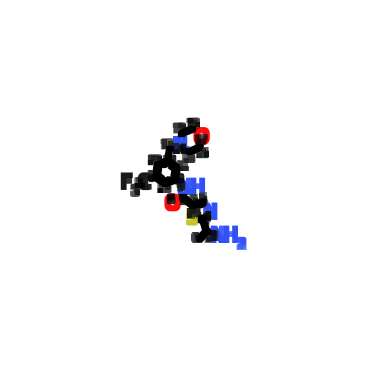 CC(N)c1ncc(C(=O)Nc2cc(CN3CCOCC3)cc(C(F)(F)F)c2)s1